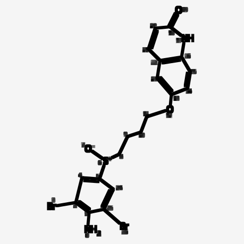 Nc1c(Br)cc([S+]([O-])CCCCOc2ccc3[nH]c(=O)ccc3c2)cc1Br